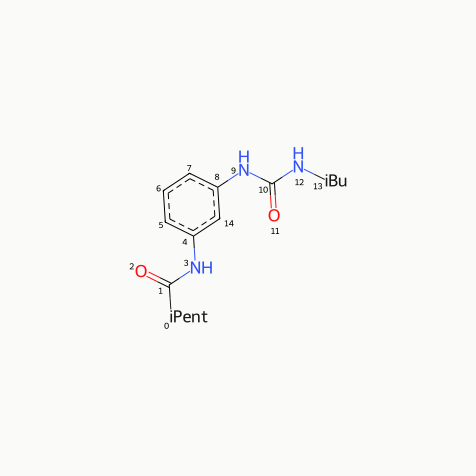 CCCC(C)C(=O)Nc1cccc(NC(=O)NC(C)CC)c1